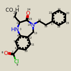 O=C(O)CC1Nc2cc(C(=O)Cl)ccc2CN(CCc2ccccc2)C1=O